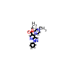 CCOC(=O)c1cnc2c(cnn2-c2ccccc2)c1N1CCN(C)CC1